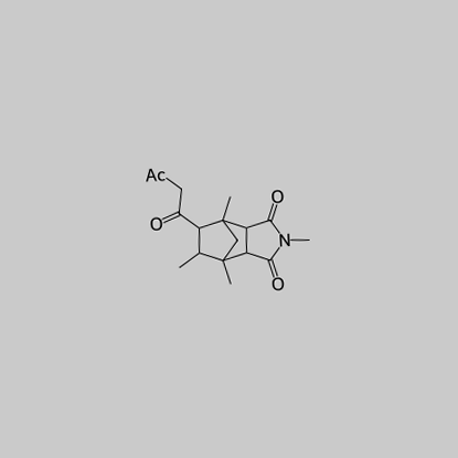 CC(=O)CC(=O)C1C(C)C2(C)CC1(C)C1C(=O)N(C)C(=O)C12